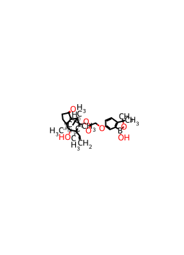 C=C[C@]1(C)C[C@@H](OC(=O)COc2ccc3c(c2)B(O)OC3(C)C)[C@]2(C)[C@H](C)CC[C@]3(CCC(=O)[C@H]32)[C@@H](C)[C@@H]1O